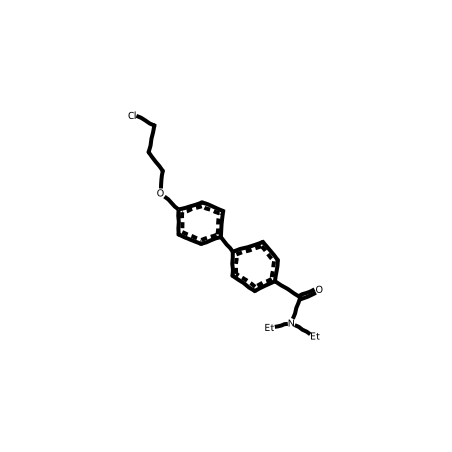 CCN(CC)C(=O)c1ccc(-c2ccc(OCCCCl)cc2)cc1